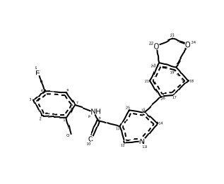 Cc1ccc(F)cc1NC(=O)c1cncc(-c2ccc3c(c2)OCO3)c1